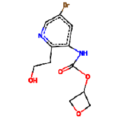 O=C(Nc1cc(Br)cnc1CCO)OC1COC1